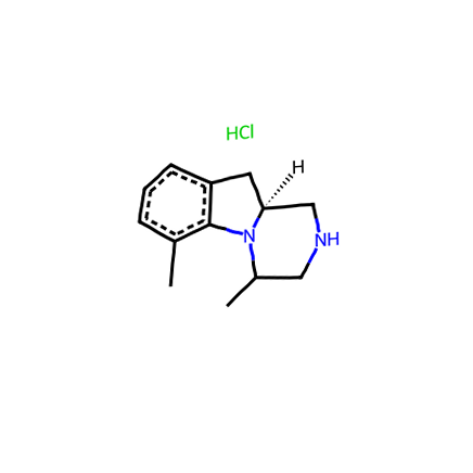 Cc1cccc2c1N1C(C)CNC[C@@H]1C2.Cl